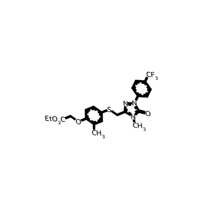 CCOC(=O)COc1ccc(SCc2nn(-c3ccc(C(F)(F)F)cc3)c(=O)n2C)cc1C